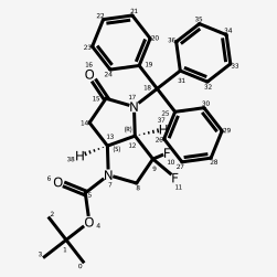 CC(C)(C)OC(=O)N1CC(F)(F)[C@H]2[C@@H]1CC(=O)N2C(c1ccccc1)(c1ccccc1)c1ccccc1